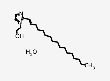 CCCCCCCCCCCCCCCC=Cc1nccn1CCO.O